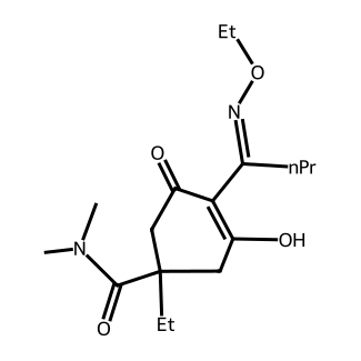 CCCC(=NOCC)C1=C(O)CC(CC)(C(=O)N(C)C)CC1=O